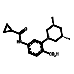 C[C@H]1C[C@H](C)CN(c2cc(NC(=O)C3CC3)ccc2C(=O)O)C1